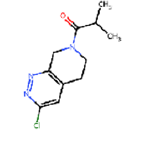 CC(C)C(=O)N1CCc2cc(Cl)nnc2C1